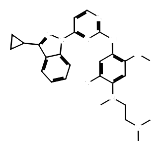 COc1cc(N(C)CCN(C)C)c(N)cc1Nc1nccc(-n2nc(C3CC3)c3ccccc32)n1